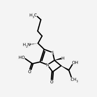 CCCC[C@@H](N)C1=C(C(=O)O)N2C(=O)[C@H](C(C)O)[C@H]2S1